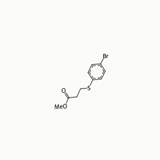 COC(=O)CCSc1ccc(Br)cc1